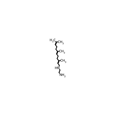 CC(C)=CCC/C(C)=C/CC/C(C)=C/CNCCN